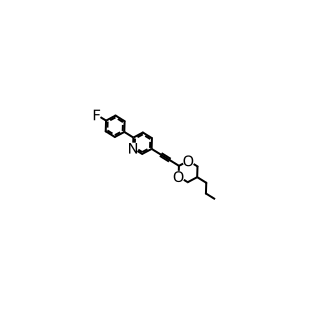 CCCC1COC(C#Cc2ccc(-c3ccc(F)cc3)nc2)OC1